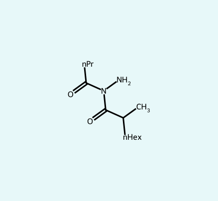 CCCCCCC(C)C(=O)N(N)C(=O)CCC